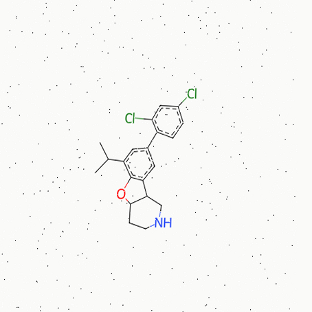 CC(C)c1cc(-c2ccc(Cl)cc2Cl)cc2c1OC1CCNCC21